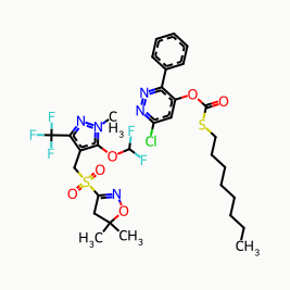 CCCCCCCCSC(=O)Oc1cc(Cl)nnc1-c1ccccc1.Cn1nc(C(F)(F)F)c(CS(=O)(=O)C2=NOC(C)(C)C2)c1OC(F)F